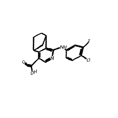 O=C(O)c1cnc(Nc2ccc(Cl)c(F)c2)c2c1C1CCC2C1